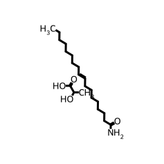 CC(O)C(=O)O.CCCCCCCCC=CCCCCCCCC(N)=O